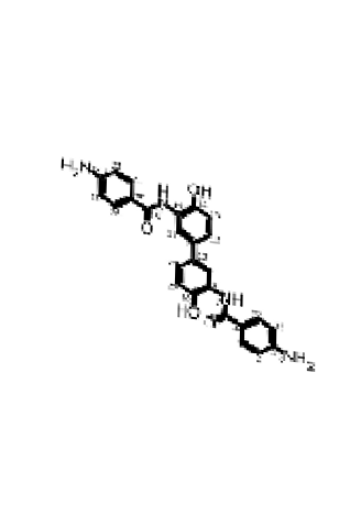 Nc1ccc(C(=O)Nc2cc(-c3ccc(O)c(NC(=O)c4ccc(N)cc4)c3)ccc2O)cc1